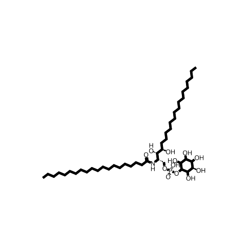 CCCCCCCCCCCCCCCCCCCC(=O)N[C@@H](COP(=O)(O)OC1C(O)C(O)C(O)[C@@H](O)C1O)[C@H](O)[C@H](O)CCCCCCCCCCCCCCCC